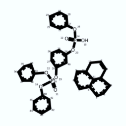 C1=Cc2cccc3cccc(c23)C1.O=P(O)(Oc1ccccc1)Oc1cccc(OP(=O)(Oc2ccccc2)Oc2ccccc2)c1